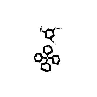 CCOc1cc([PH3+])cc(OCC)c1.c1ccc([B-](c2ccccc2)(c2ccccc2)c2ccccc2)cc1